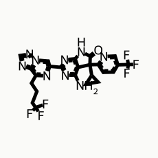 Nc1nc(-c2cn3ncnc3c(CCCC(F)(F)F)n2)nc2c1C(c1ccc(C(F)(F)F)cn1)(C1CC1)C(=O)N2